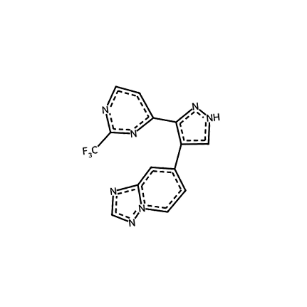 FC(F)(F)c1nccc(-c2n[nH]cc2-c2ccn3ncnc3c2)n1